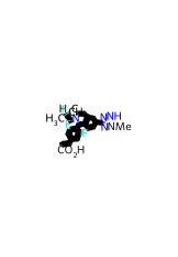 CN/N=C(\N=N)C1C=CC2=C(C1)CC(C)N(CC(C)(C)F)C2c1c(F)cc(/C=C/C(=O)O)cc1F